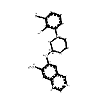 COc1cc2ncncc2cc1O[C@@H]1CCCN(c2cccc(Cl)c2F)C1